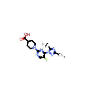 Cc1nc(C)n(-c2nc(N3CCC(C(=O)O)CC3)ncc2F)n1